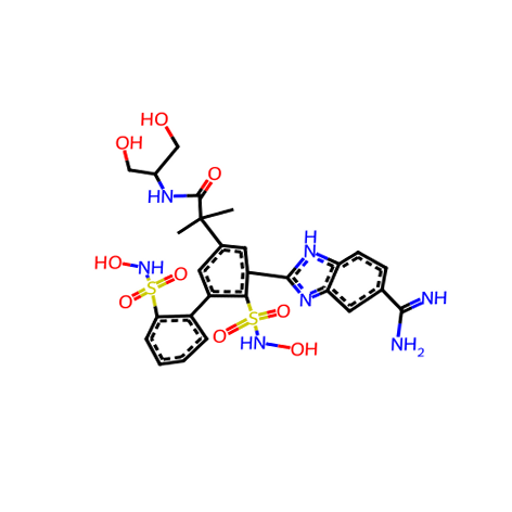 CC(C)(C(=O)NC(CO)CO)c1cc(-c2nc3cc(C(=N)N)ccc3[nH]2)c(S(=O)(=O)NO)c(-c2ccccc2S(=O)(=O)NO)c1